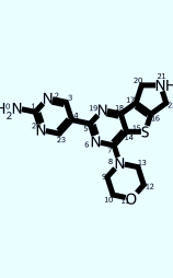 Nc1ncc(-c2nc(N3CCOCC3)c3sc4c(c3n2)CNC4)cn1